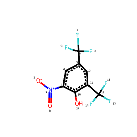 O=[N+]([O-])c1cc(C(F)(F)F)cc(C(F)(F)F)c1O